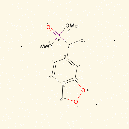 CCC(c1ccc2c(c1)OOC2)P(=O)(OC)OC